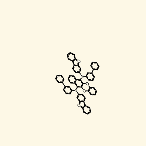 c1ccc(-c2cccc(N(c3ccc4c(c3)oc3ccccc34)c3c4c(c(N(c5cccc(-c6ccccc6)c5)c5ccc6c(c5)oc5ccccc56)c5ccccc35)Oc3ccccc3O4)c2)cc1